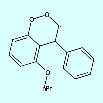 CCCOc1cccc2c1C(c1ccccc1)[C]OO2